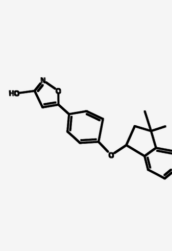 CC1(C)CC(Oc2ccc(-c3cc(O)no3)cc2)c2ccccc21